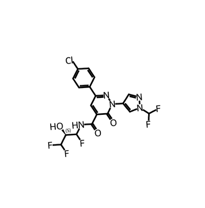 O=C(NC(F)[C@H](O)C(F)F)c1cc(-c2ccc(Cl)cc2)nn(-c2cnn(C(F)F)c2)c1=O